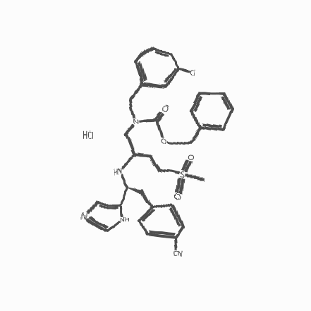 CS(=O)(=O)CCC(CN(Cc1cccc(Cl)c1)C(=O)OCc1ccccc1)N[C@@H](Cc1ccc(C#N)cc1)c1cnc[nH]1.Cl